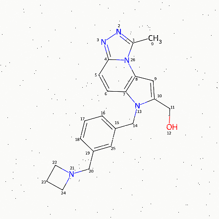 Cc1nnc2ccc3c(cc(CO)n3Cc3cccc(CN4CCC4)c3)n12